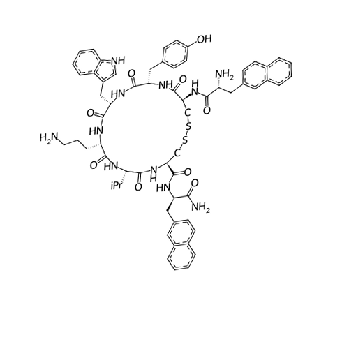 CC(C)[C@@H]1NC(=O)[C@H](CCCN)NC(=O)[C@H](Cc2c[nH]c3ccccc23)NC(=O)[C@H](Cc2ccc(O)cc2)NC(=O)[C@@H](NC(=O)[C@H](N)Cc2ccc3ccccc3c2)CSSC[C@@H](C(=O)N[C@H](Cc2ccc3ccccc3c2)C(N)=O)NC1=O